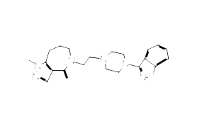 Cn1ncc2c1CCCN(CCN1CCN(c3nsc4ccccc34)CC1)C2=O